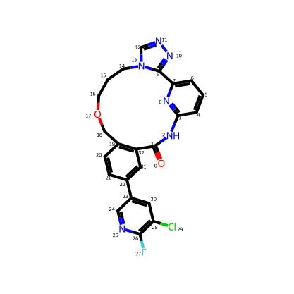 O=C1Nc2cccc(n2)-c2nncn2CCCOCc2ccc(-c3cnc(F)c(Cl)c3)cc21